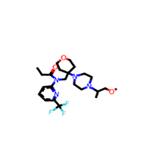 CCC(=O)N(CC1(N2CCN(C(C)COC)CC2)CCOCC1)c1cccc(C(F)(F)F)n1